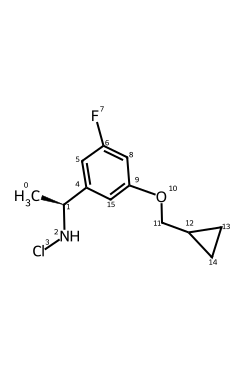 C[C@H](NCl)c1cc(F)cc(OCC2CC2)c1